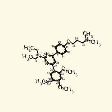 CCN(CC)c1nc(-c2ccc(OCCCN(C)C)cc2)cc(-c2cc(OC)c(OC)cc2OC)n1